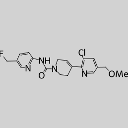 COCc1cnc(C2=CCN(C(=O)Nc3ccc(CF)cn3)CC2)c(Cl)c1